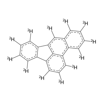 [2H]c1c([2H])c([2H])c2c(c1[2H])-c1c([2H])c([2H])c([2H])c3c1c-2c([2H])c1c([2H])c([2H])c([2H])c([2H])c13